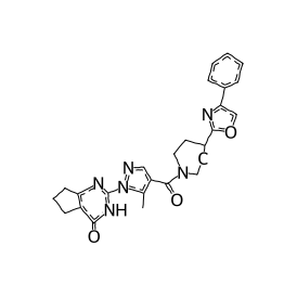 Cc1c(C(=O)N2CCC(c3nc(-c4ccccc4)co3)CC2)cnn1-c1nc2c(c(=O)[nH]1)CCC2